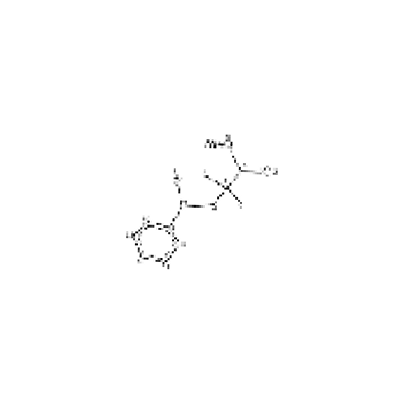 COC(=O)C(C)(C)CC(Br)c1ccccc1